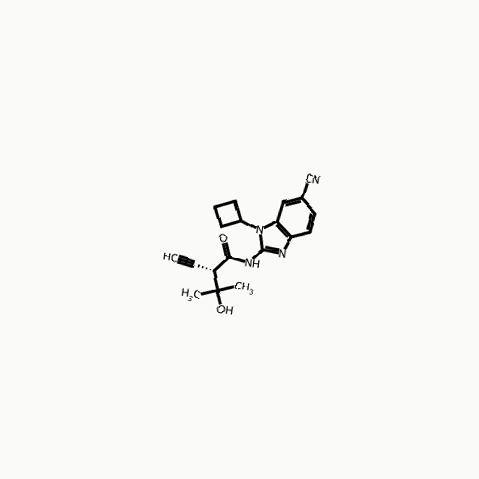 C#C[C@H](C(=O)Nc1nc2ccc(C#N)cc2n1C1CCC1)C(C)(C)O